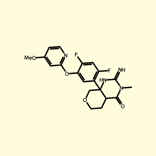 COc1ccnc(Oc2cc(C34COCCC3C(=O)N(C)C(=N)N4)c(F)cc2F)c1